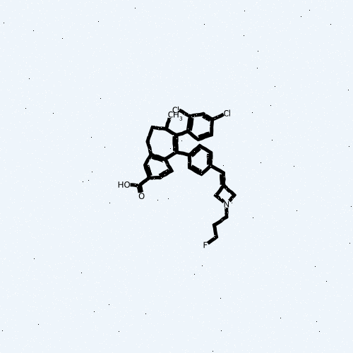 CC1CCc2cc(C(=O)O)ccc2C(c2ccc(C=C3CN(CCCF)C3)cc2)=C1c1ccc(Cl)cc1Cl